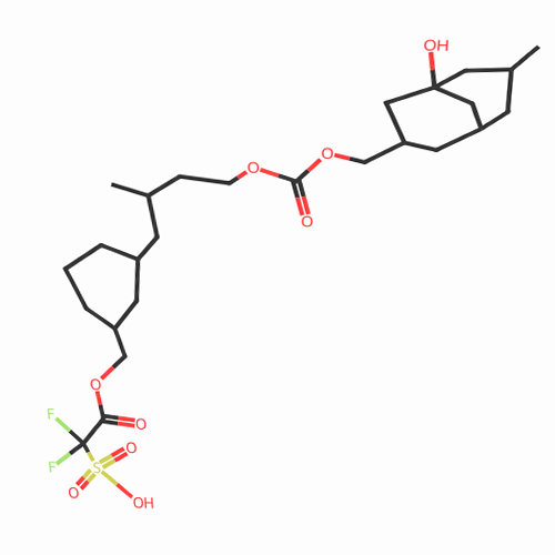 CC(CCOC(=O)OCC1CC2CC(C)CC(O)(C1)C2)CC1CCCC(COC(=O)C(F)(F)S(=O)(=O)O)C1